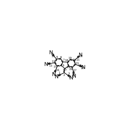 N#CC(C#N)=C1c2c(cc(C#N)c(C#N)c2C#N)-c2cc(C#N)c(C#N)c(C#N)c21